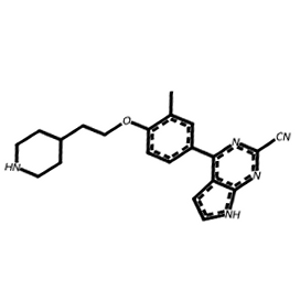 Cc1cc(-c2nc(C#N)nc3[nH]ccc23)ccc1OCCC1CCNCC1